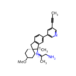 CC#Cc1cncc(-c2ccc3c(c2)[C@@](C)(/N=C(/C)CN)[C@]2(CC[C@H](OC)CC2)C3)c1